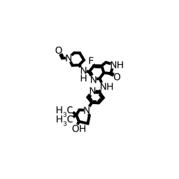 CC1(C)CN(c2ccc(NC3N=C(NC4CCCN(C=O)C4)C(F)=C4CNC(=O)C43)nc2)CCC1O